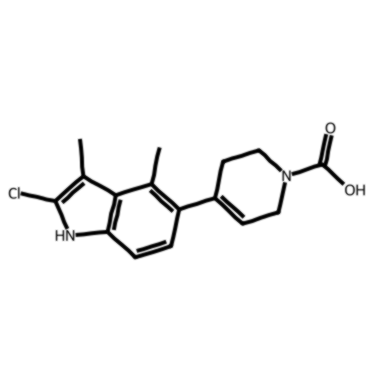 Cc1c(C2=CCN(C(=O)O)CC2)ccc2[nH]c(Cl)c(C)c12